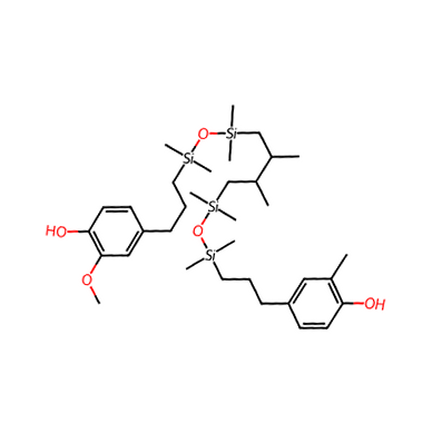 COc1cc(CCC[Si](C)(C)O[Si](C)(C)CC(C)C(C)C[Si](C)(C)O[Si](C)(C)CCCc2ccc(O)c(C)c2)ccc1O